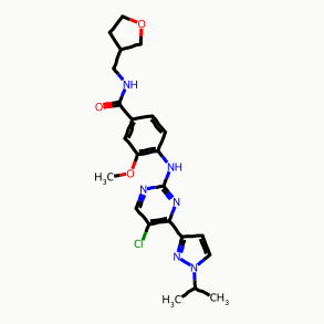 COc1cc(C(=O)NCC2CCOC2)ccc1Nc1ncc(Cl)c(-c2ccn(C(C)C)n2)n1